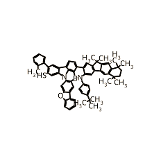 Cc1ccccc1-c1cc2c3ccc4c5c3n(c2cc1S)-c1cc2oc3ccccc3c2cc1B5N(c1ccc(C(C)(C)C)cc1)c1cc2c(cc1-4)C(C)(C)c1cc3c(cc1-2)C(C)(C)CCC3(C)C